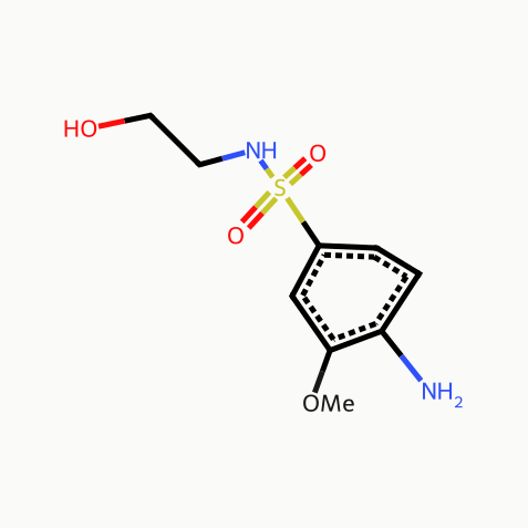 COc1cc(S(=O)(=O)NCCO)ccc1N